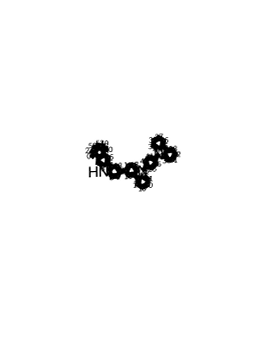 CC1(C)c2cc3[nH]c4ccc(-c5ccc6c(c5)c5ccccc5n6-c5ccc(-n6c7ccccc7c7ccccc76)cc5)cc4c3cc2C(C)(C)C1(C)C